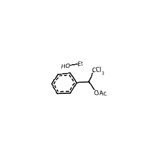 CC(=O)OC(c1ccccc1)C(Cl)(Cl)Cl.CCO